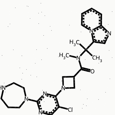 CN(C(=O)C1CN(c2nc(N3CCCNCC3)ncc2Cl)C1)C(C)(C)c1cnc2ccccn12